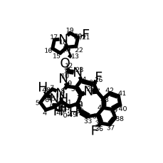 C[C@@H]1[C@H]2[C@@H]3CC[C@H](CN2c2nc(OC[C@@]45CCCN4C[C@H](F)C5)nc4c(F)c5nc(c24)[C@@H]1C#Cc1c(F)ccc2cccc-5c12)N3